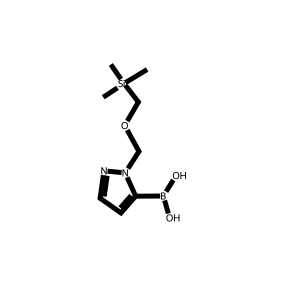 C[Si](C)(C)COCn1nccc1B(O)O